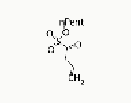 C=CCC(=O)S(=O)(=O)OCCCCC